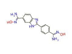 NC(=NO)c1ccc(-c2nc3ccc(C(N)=NO)cc3[nH]2)cc1